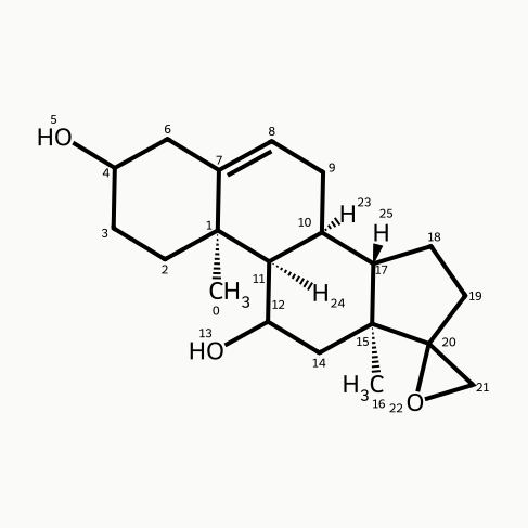 C[C@]12CCC(O)CC1=CC[C@@H]1[C@H]2C(O)C[C@@]2(C)[C@H]1CCC21CO1